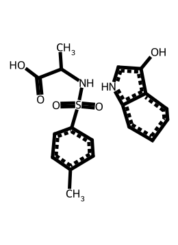 Cc1ccc(S(=O)(=O)NC(C)C(=O)O)cc1.Oc1c[nH]c2ccccc12